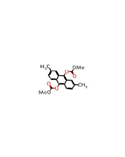 COC(=O)Oc1c2ccc(C)cc2c(OC(=O)OC)c2cc(C)ccc12